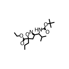 CCCC1(C(=O)OCC)CC([C@@H](NC(=O)OC(C)(C)C)C(C)C)=NO1